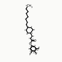 CCCCCCCCC1CCC(CCC(=O)Oc2cc(F)c(F)c(F)c2)CC1